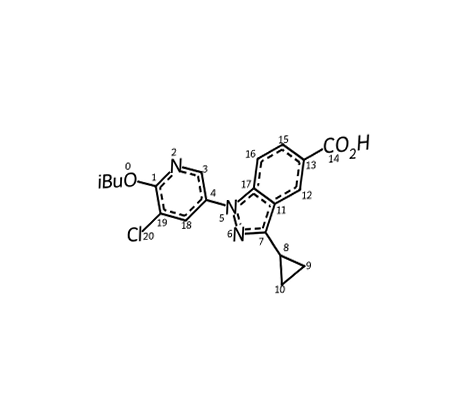 CC(C)COc1ncc(-n2nc(C3CC3)c3cc(C(=O)O)ccc32)cc1Cl